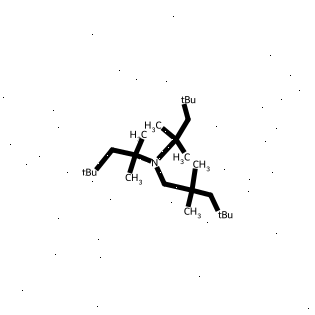 CC(C)(C)CC(C)(C)CN(C(C)(C)CC(C)(C)C)C(C)(C)CC(C)(C)C